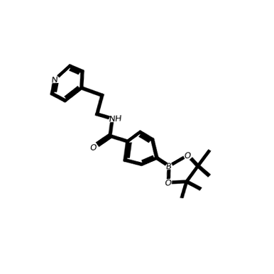 CC1(C)OB(c2ccc(C(=O)NCCc3ccncc3)cc2)OC1(C)C